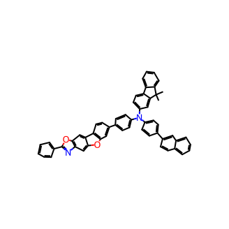 CC1(C)c2ccccc2-c2ccc(N(c3ccc(-c4ccc5ccccc5c4)cc3)c3ccc(-c4ccc5c(c4)oc4cc6nc(-c7ccccc7)oc6cc45)cc3)cc21